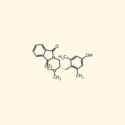 Cc1cc(O)cc(C)c1C[C@@H](CN1C(=O)c2ccccc2C1=O)N(C)C